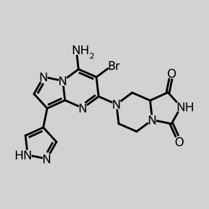 Nc1c(Br)c(N2CCN3C(=O)NC(=O)C3C2)nc2c(-c3cn[nH]c3)cnn12